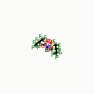 BN(S(=O)(=O)C(F)(F)C(F)(F)C(F)(F)F)S(=O)(=O)C(F)(F)C(F)(F)C(F)(F)F